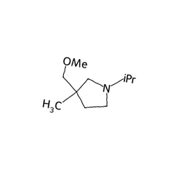 COCC1(C)CCN(C(C)C)C1